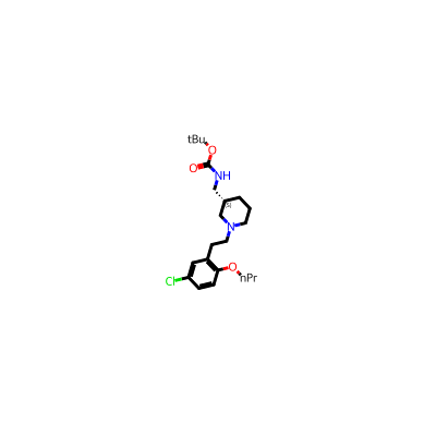 CCCOc1ccc(Cl)cc1CCN1CCC[C@@H](CNC(=O)OC(C)(C)C)C1